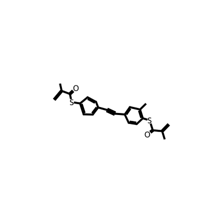 C=C(C)C(=O)Sc1ccc(C#Cc2ccc(SC(=O)C(=C)C)c(C)c2)cc1